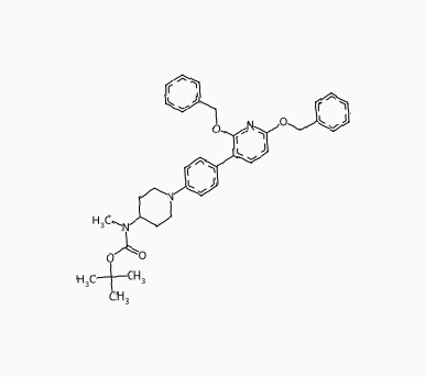 CN(C(=O)OC(C)(C)C)C1CCN(c2ccc(-c3ccc(OCc4ccccc4)nc3OCc3ccccc3)cc2)CC1